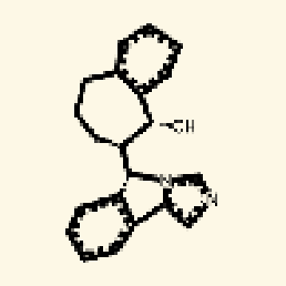 O[C@H]1c2ccccc2CCC[C@@H]1[C@H]1c2ccccc2-c2cncn21